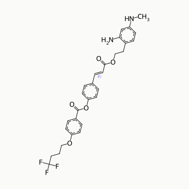 CNc1ccc(CCOC(=O)/C=C/c2ccc(OC(=O)c3ccc(OCCCC(F)(F)F)cc3)cc2)c(N)c1